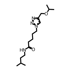 CC(C)CCNC(=O)CCCCn1cc(COC(C)C)nn1